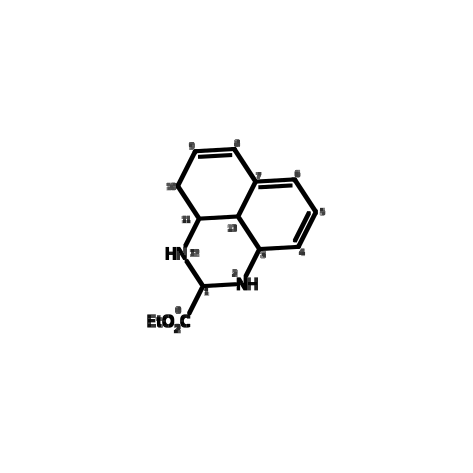 CCOC(=O)C1NC2C=CC=C3C=CCC(N1)C32